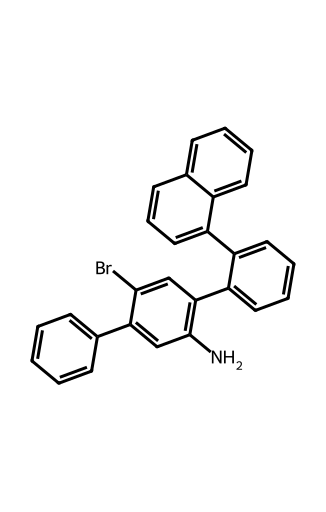 Nc1cc(-c2ccccc2)c(Br)cc1-c1ccccc1-c1cccc2ccccc12